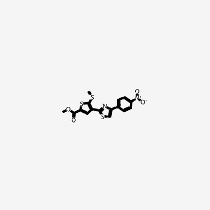 COC(=O)c1cc(-c2nc(-c3ccc([N+](=O)[O-])cc3)cs2)c(SC)s1